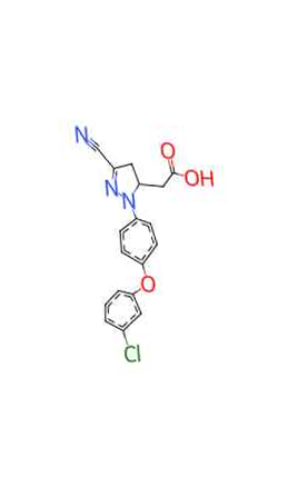 N#CC1=NN(c2ccc(Oc3cccc(Cl)c3)cc2)C(CC(=O)O)C1